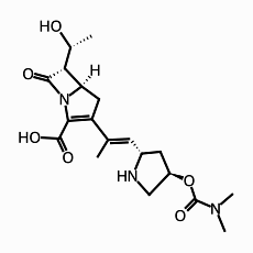 CC(=C[C@@H]1C[C@@H](OC(=O)N(C)C)CN1)C1=C(C(=O)O)N2C(=O)[C@H]([C@@H](C)O)[C@H]2C1